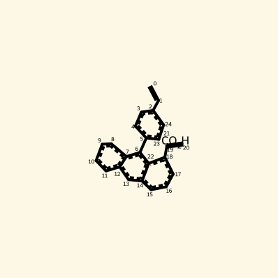 C=Cc1ccc(-c2c3ccccc3cc3cccc(C(=C)C(=O)O)c23)cc1